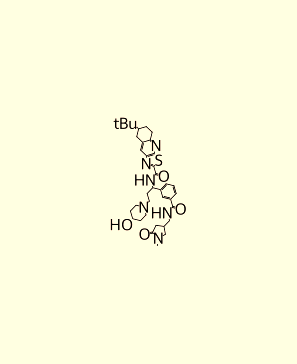 CN1CC(CNC(=O)c2cccc(C(CCN3CCC(O)CC3)NC(=O)c3nc4cc5c(nc4s3)CC[C@H](C(C)(C)C)C5)c2)CC1=O